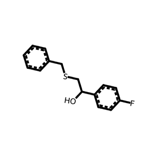 OC(CSCc1ccccc1)c1ccc(F)cc1